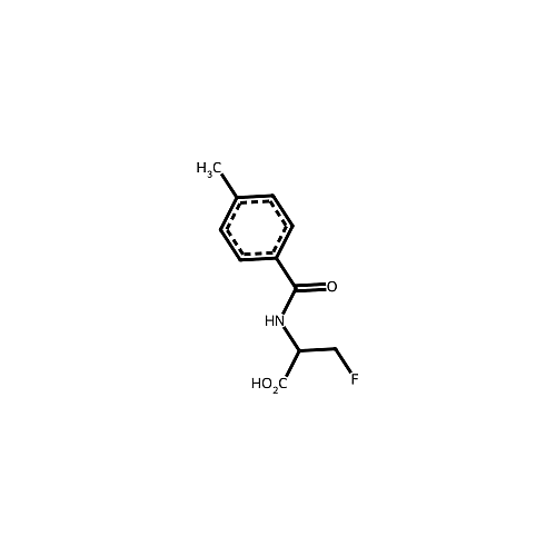 Cc1ccc(C(=O)NC(CF)C(=O)O)cc1